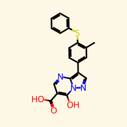 Cc1cc(-c2cnn3c(O)c(C(=O)O)cnc23)ccc1Sc1ccccc1